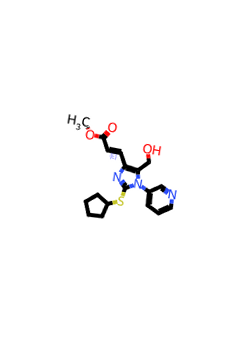 COC(=O)/C=C/c1nc(SC2CCCC2)n(-c2cccnc2)c1CO